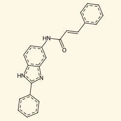 O=C(/C=C/c1ccccc1)Nc1ccc2[nH]c(-c3ccccc3)nc2c1